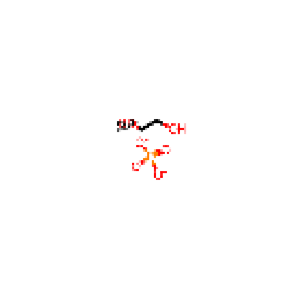 O=P([O-])([O-])[O-].OCCO.[Sb+3]